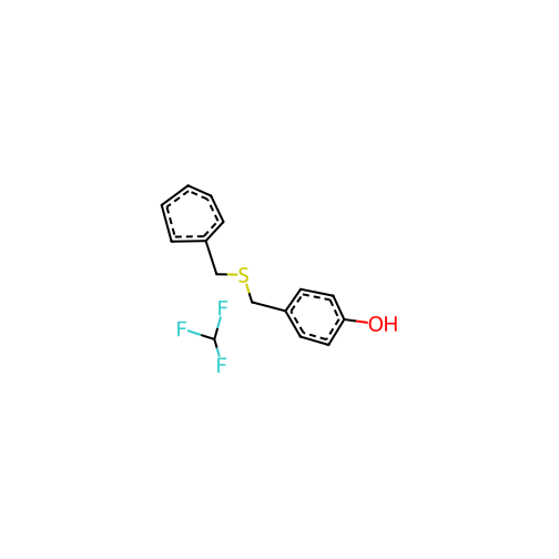 FC(F)F.Oc1ccc(CSCc2ccccc2)cc1